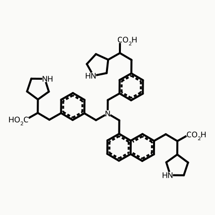 O=C(O)C(Cc1cccc(CN(Cc2cccc(CC(C(=O)O)C3CCNC3)c2)Cc2cccc3ccc(CC(C(=O)O)C4CCNC4)cc23)c1)C1CCNC1